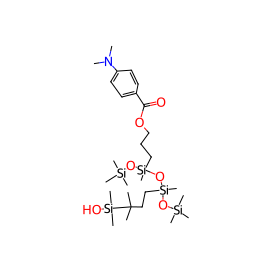 CN(C)c1ccc(C(=O)OCCC[Si](C)(O[Si](C)(C)C)O[Si](C)(CCC(C)(C)[Si](C)(C)O)O[Si](C)(C)C)cc1